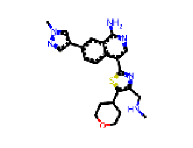 CNCc1nc(-c2cnc(N)c3cc(-c4cnn(C)c4)ccc23)sc1C1CCOCC1